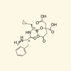 O=C(O)CC1(C(=O)O)CC(=O)OB([C@H](CC2CC2)NC(=O)[C@H](Cc2ccccc2)NP)O1